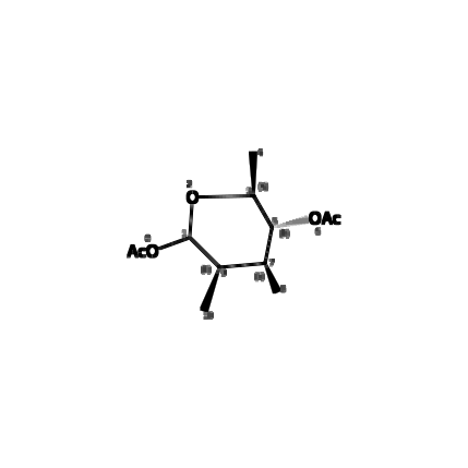 CC(=O)OC1O[C@@H](C)[C@H](OC(C)=O)[C@@H](C)[C@H]1C